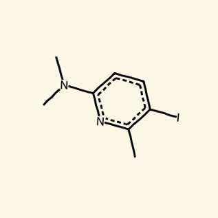 Cc1nc(N(C)C)ccc1I